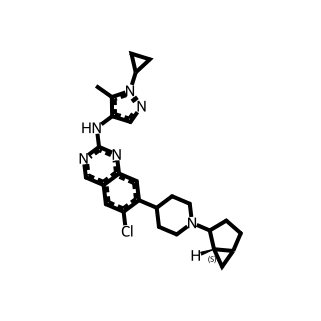 Cc1c(Nc2ncc3cc(Cl)c(C4CCN(C5CCC6C[C@@H]65)CC4)cc3n2)cnn1C1CC1